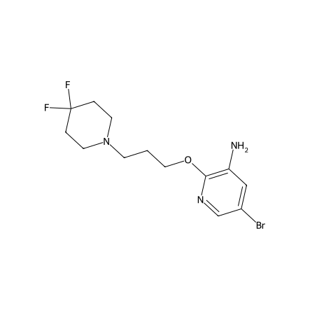 Nc1cc(Br)cnc1OCCCN1CCC(F)(F)CC1